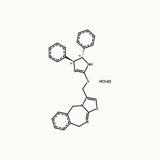 C1=C(CSC2=N[C@@H](c3ccccc3)[C@H](c3ccccc3)N2)N2Cc3ccccc3CN=C2S1.Cl.Cl